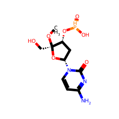 CO[C@]1(CO)O[C@@H](n2ccc(N)nc2=O)C[C@H]1O[PH](=O)O